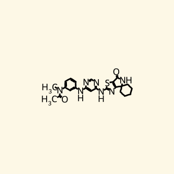 CC(=O)N(C)c1cccc(Nc2cc(Nc3nc4c(s3)C(=O)NC43CCCCC3)ncn2)c1